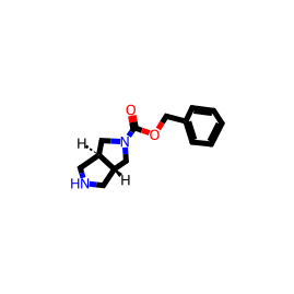 O=C(OCc1ccccc1)N1C[C@@H]2CNC[C@H]2C1